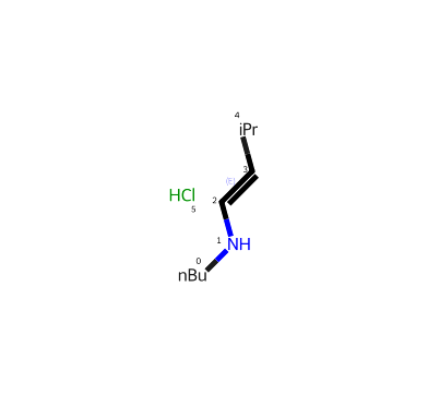 CCCCN/C=C/C(C)C.Cl